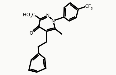 Cc1c(CCc2ccccc2)c(=O)c(C(=O)O)nn1-c1ccc(C(F)(F)F)cc1